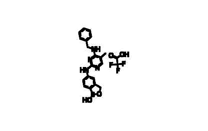 Cc1cnc(Nc2ccc3c(c2)COB3O)nc1NCc1ccccc1.O=C(O)C(F)(F)F